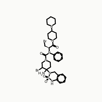 NC1(N2Cc3ccccc3NS2(=O)=O)CCN(C(=O)N(c2ccccc2)[C@@H](CBr)C(=O)N2CCC(N3CCCCC3)CC2)CC1Br